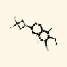 CCc1c(C)c2ccc(N3CC(F)(F)C3)cc2oc1=O